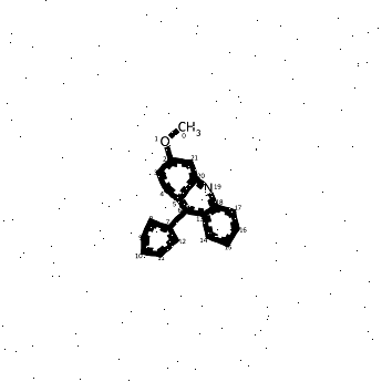 COc1ccc2c(-c3ccccc3)c3ccccc3nc2c1